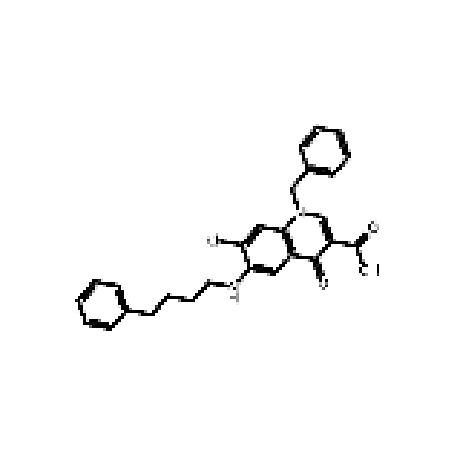 O=C(O)c1cn(Cc2ccccc2)c2cc(Cl)c(NCCCCc3ccccc3)cc2c1=O